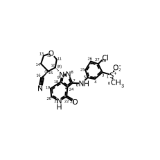 C[S+]([O-])c1cc(Nc2nn([C@H]3COCC[C@@H]3C#N)c3cc[nH]c(=O)c23)ccc1Cl